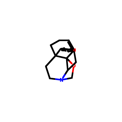 C1=CC23OCN4CCC2(CC1)c1ccccc1CC43